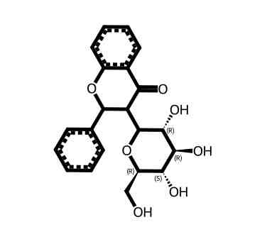 O=C1c2ccccc2OC(c2ccccc2)C1C1O[C@H](CO)[C@@H](O)[C@H](O)[C@H]1O